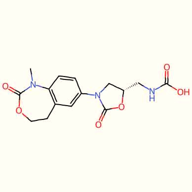 CN1C(=O)OCCc2cc(N3C[C@H](CNC(=O)O)OC3=O)ccc21